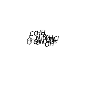 CC(C)[C@@H](NC(=O)CC12CC3CC(CC(CC(=O)O)(C3)C1)C2)C(=O)N1CC[C@](O)(c2ccc(Cl)cc2)C(C)(C)C1